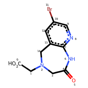 O=C(O)CN1CC(=O)Nc2ncc(Br)cc2C1